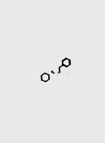 CC(C)[C@H]1CC[C@H](C(=O)N[C@@H](C)Cc2ccccc2)CC1